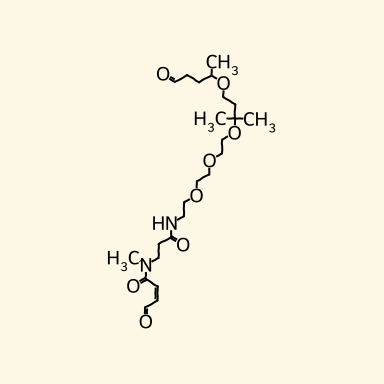 CC(CCC=O)OCCC(C)(C)OCCOCCOCCNC(=O)CCN(C)C(=O)/C=C\C=O